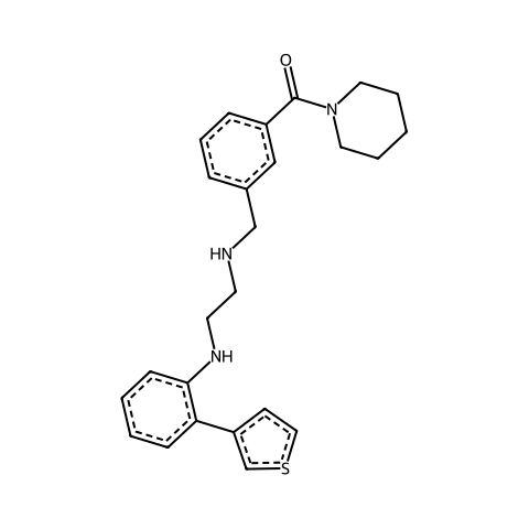 O=C(c1cccc(CNCCNc2ccccc2-c2ccsc2)c1)N1CCCCC1